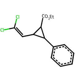 CCOC(=O)C1C(C=C(Cl)Cl)C1c1ccccc1